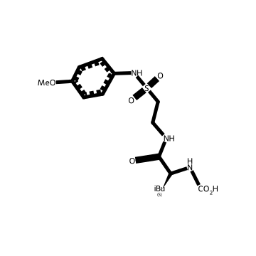 CC[C@H](C)C(NC(=O)O)C(=O)NCCS(=O)(=O)Nc1ccc(OC)cc1